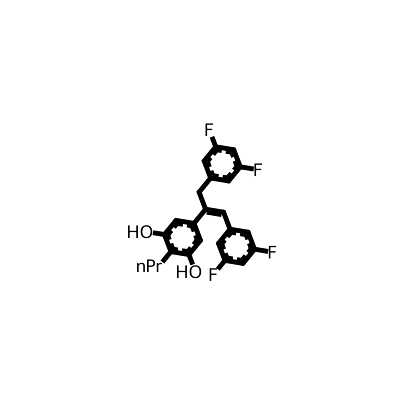 CCCc1c(O)cc(/C(=C\c2cc(F)cc(F)c2)Cc2cc(F)cc(F)c2)cc1O